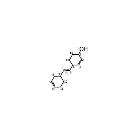 OC1C=CC(/C=C/C2CC=CCC2)CC1